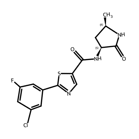 C[C@@H]1C[C@H](NC(=O)c2cnc(-c3cc(F)cc(Cl)c3)s2)C(=O)N1